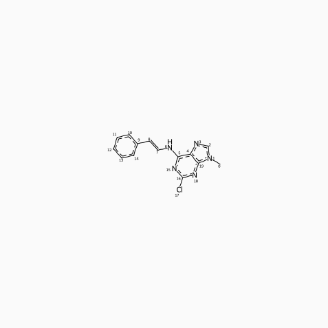 Cn1cnc2c(NC=Cc3ccccc3)nc(Cl)nc21